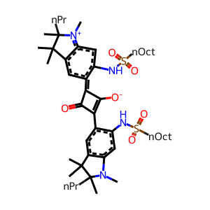 CCCCCCCCS(=O)(=O)Nc1cc2c(cc1C1=C([O-])/C(=c3/cc4c(cc3NS(=O)(=O)CCCCCCCC)=[N+](C)C(C)(CCC)C4(C)C)C1=O)C(C)(C)C(C)(CCC)N2C